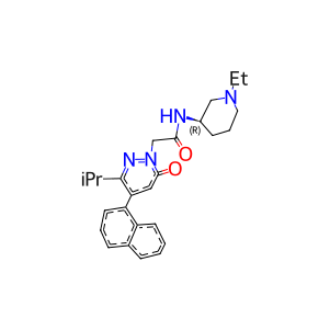 CCN1CCC[C@@H](NC(=O)Cn2nc(C(C)C)c(-c3cccc4ccccc34)cc2=O)C1